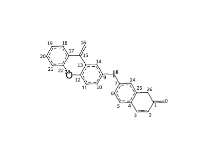 C=C1C=Cc2ccc([I+]c3ccc4c(c3)C(=C)c3ccccc3O4)cc2C1